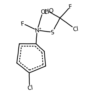 O=C[N+](F)(SC(F)(Cl)Cl)c1ccc(Cl)cc1